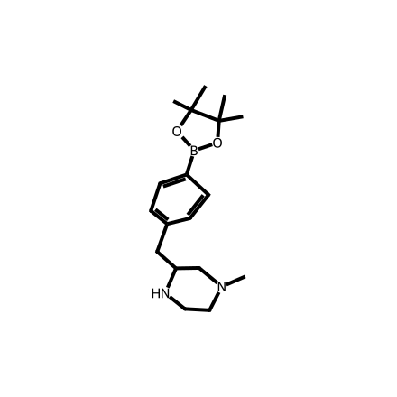 CN1CCNC(Cc2ccc(B3OC(C)(C)C(C)(C)O3)cc2)C1